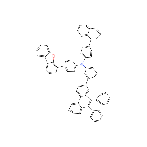 c1ccc(-c2c(-c3ccccc3)c3cc(-c4cccc(N(c5ccc(-c6cccc7ccccc67)cc5)c5ccc(-c6cccc7c6oc6ccccc67)cc5)c4)ccc3c3ccccc23)cc1